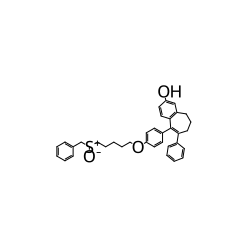 [O-][S+](CCCCCOc1ccc(C2=C(c3ccccc3)CCCc3cc(O)ccc32)cc1)Cc1ccccc1